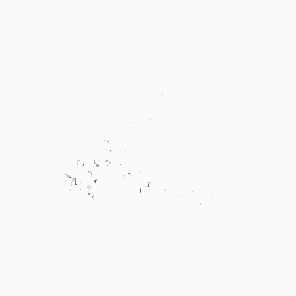 CCCCCCCCCCC(=O)CCCOC(C(=O)CCCCCCCCCC)N1CNc2c1nc(N)[nH]c2=O